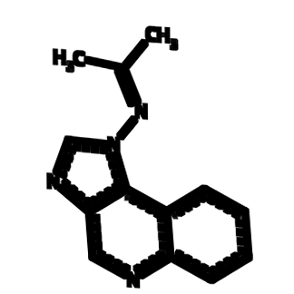 CC(C)=Nn1cnc2cnc3ccccc3c21